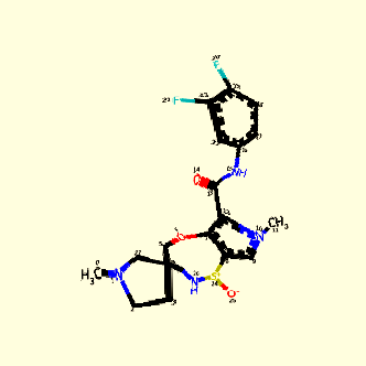 CN1CCC2(COc3c(cn(C)c3C(=O)Nc3ccc(F)c(F)c3)[S+]([O-])N2)C1